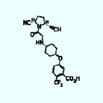 C#C[C@H]1CC[C@@H](C#N)N1C(=O)CN[C@H]1CC[C@H](Oc2ccc(C(F)(F)F)c(C(=O)O)c2)CC1